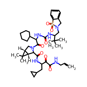 C=CCNC(=O)C(=O)C(CC1CC1)NC(=O)C1[C@H]2[C@@H](CN1C(=O)C(NC(=O)NC(CN1Cc3ccccc3S1(=O)=O)C(C)(C)C)C1CCCCC1)C2(C)C